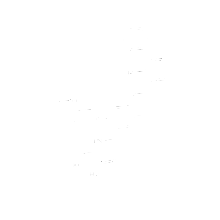 CNC(=O)COc1cc(OCc2cccc(-c3ccccc3)c2Br)c(Cl)cc1CNC(CO)C(=O)O